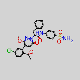 COc1nn(C(Cc2ccccc2)C(=O)Nc2ccc(S(N)(=O)=O)cc2)c(=O)cc1-c1cc(Cl)ccc1C(C)=O